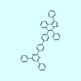 c1ccc(-c2cc(-c3ccccc3)nc(-c3ccc(-c4ccc(-c5c(-c6ccccc6)n6ncc(-c7ccccc7)c6c6ccccc56)cc4)cc3)n2)cc1